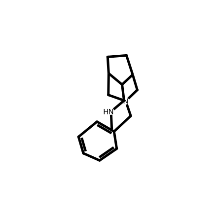 CNCC1C2CCC1CN(Cc1ccccc1)C2